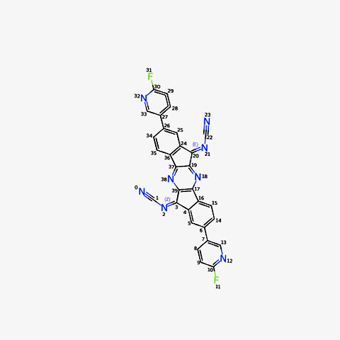 N#C/N=c1/c2cc(-c3ccc(F)nc3)ccc2c2nc3/c(=N/C#N)c4cc(C5=C=C=C(F)N=C5)ccc4c3nc12